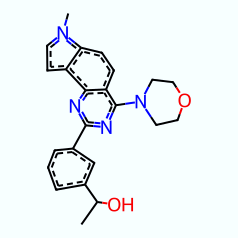 CC(O)c1cccc(-c2nc(N3CCOCC3)c3ccc4c(ccn4C)c3n2)c1